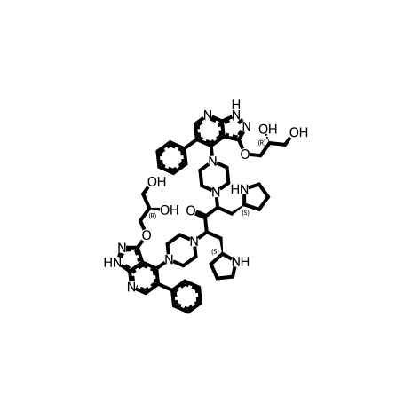 O=C(C(C[C@@H]1CCCN1)N1CCN(c2c(-c3ccccc3)cnc3[nH]nc(OC[C@H](O)CO)c23)CC1)C(C[C@@H]1CCCN1)N1CCN(c2c(-c3ccccc3)cnc3[nH]nc(OC[C@H](O)CO)c23)CC1